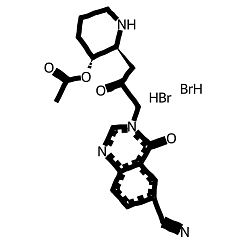 Br.Br.CC(=O)O[C@@H]1CCCN[C@H]1CC(=O)Cn1cnc2ccc(C#N)cc2c1=O